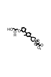 COC(=O)C(C)(C)S(=O)(=O)N1CCC(c2ccc(-c3cccc(OC[C@@H](O)CO)c3)c(C)c2)CC1